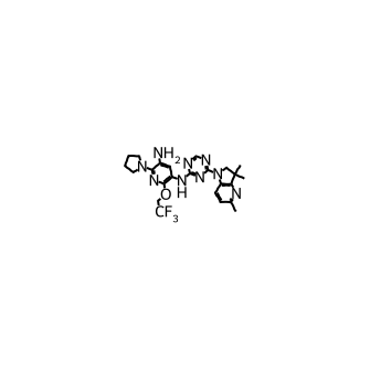 Cc1ccc2c(n1)C(C)(C)CN2c1ncnc(Nc2cc(N)c(N3CCCC3)nc2OCC(F)(F)F)n1